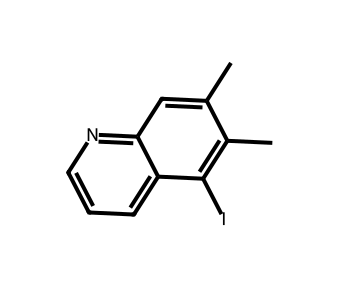 Cc1cc2ncccc2c(I)c1C